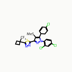 CSc1c(-c2nnc(C3(C(F)(F)F)CCC3)s2)nn(-c2ccc(Cl)cc2Cl)c1C1C=CC(Cl)=CC1